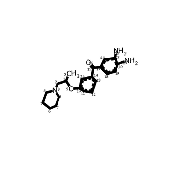 CC(CN1CCCCC1)Oc1cccc(C(=O)c2ccc(N)c(N)c2)c1